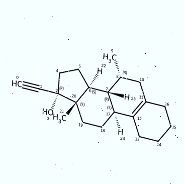 C#C[C@@]1(O)CC[C@H]2[C@@H]3[C@H](C)CC4=C(CCCC4)[C@H]3CC[C@@]21C